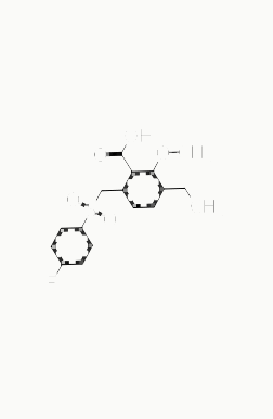 CCc1ccc(CS(=O)(=O)c2ccc(F)cc2)c(C(=O)O)c1OC